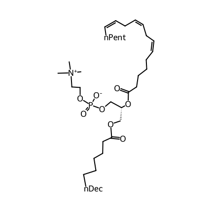 CCCCC/C=C\C/C=C\C/C=C\CCCCC(=O)O[C@H](COC(=O)CCCCCCCCCCCCCCC)COP(=O)([O-])OCC[N+](C)(C)C